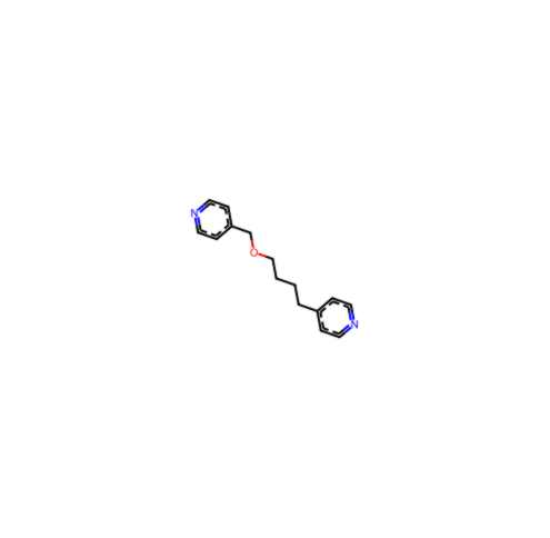 c1cc(CCCCOCc2ccncc2)ccn1